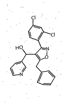 OC(c1cccnc1)c1c(-c2ccc(Cl)cc2Cl)noc1Cc1ccccc1